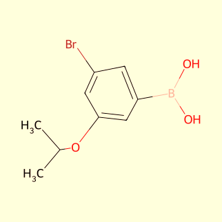 CC(C)Oc1cc(Br)cc(B(O)O)c1